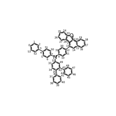 c1ccc(-c2ccc(N(c3ccc(-c4cc5ccccc5c5oc6ccccc6c45)cc3)c3ccc(-c4ccccc4)c(-c4ccccc4)c3)cc2)cc1